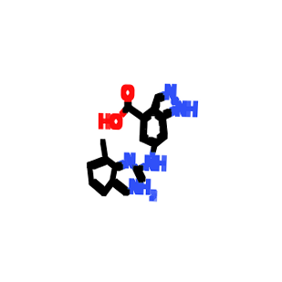 C=C(/N=C1/C(C)=CC=C/C1=C/N)Nc1cc(C(=O)O)c2cn[nH]c2c1